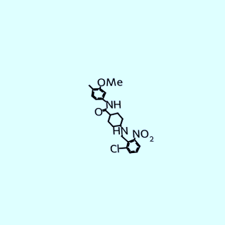 COc1cc(NC(=O)C2CCC(NCc3c(Cl)cccc3[N+](=O)[O-])CC2)ccc1C